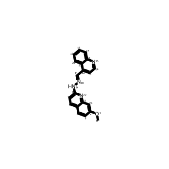 COc1ccc2ccc(NN=Cc3ccnc4ccccc34)nc2c1